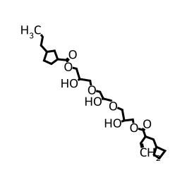 C=CC(CC1CCC1)C(=O)OCC(O)COCC(O)COCC(O)COC(=O)C1CCC(CCC)C1